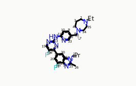 CCN1CCCN([C@H](C)c2ccc(Nc3ncc(F)c(-c4cc(F)c5nc(C)n(C(C)C)c5c4)n3)nc2)CC1